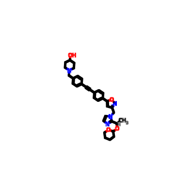 C[C@H](OC1CCCCO1)c1nccn1Cc1cc(-c2ccc(C#Cc3ccc(CN4CCC(O)CC4)cc3)cc2)on1